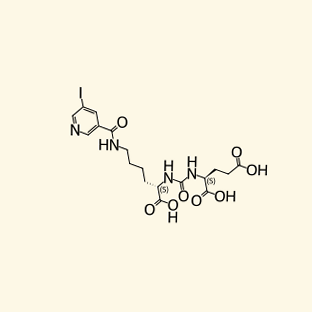 O=C(O)CC[C@H](NC(=O)N[C@@H](CCCCNC(=O)c1cncc(I)c1)C(=O)O)C(=O)O